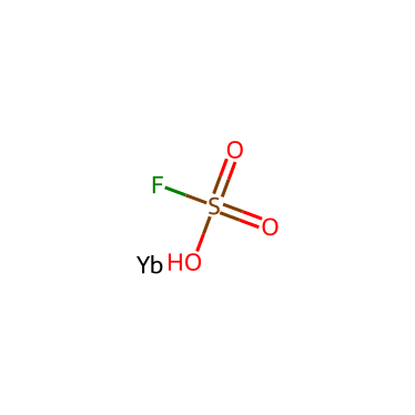 O=S(=O)(O)F.[Yb]